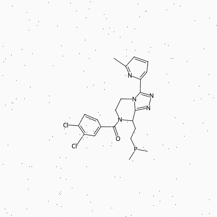 Cc1cccc(-c2nnc3n2CCN(C(=O)c2ccc(Cl)c(Cl)c2)C3CCP(C)C)n1